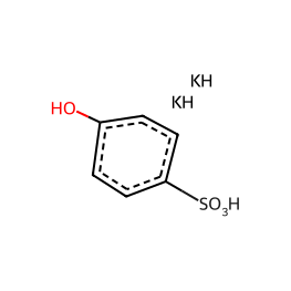 O=S(=O)(O)c1ccc(O)cc1.[KH].[KH]